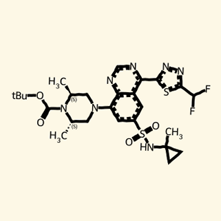 C[C@H]1CN(c2cc(S(=O)(=O)NC3(C)CC3)cc3c(-c4nnc(C(F)F)s4)ncnc23)C[C@H](C)N1C(=O)OC(C)(C)C